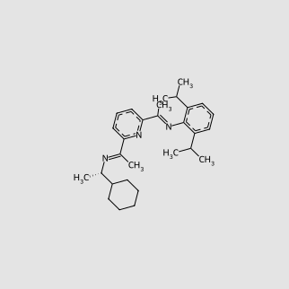 C/C(=N\c1c(C(C)C)cccc1C(C)C)c1cccc(/C(C)=N/[C@@H](C)C2CCCCC2)n1